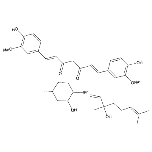 C=CC(C)(O)CCC=C(C)C.CC1CCC(C(C)C)C(O)C1.COc1cc(/C=C/C(=O)CC(=O)/C=C/c2ccc(O)c(OC)c2)ccc1O